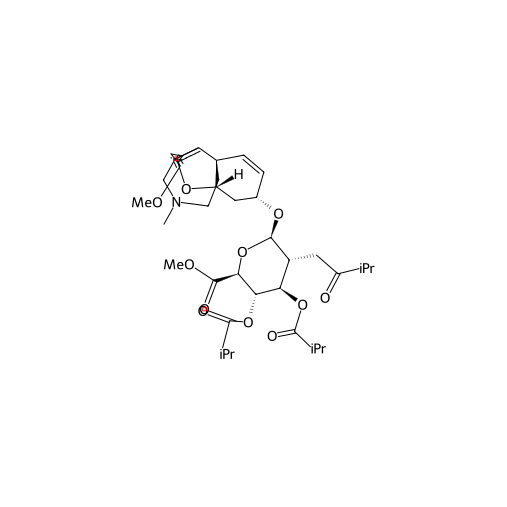 COC(=O)[C@H]1O[C@@H](O[C@H]2C=C[C@@]34CCN(C)Cc5ccc(OC)c(c53)O[C@H]4C2)[C@H](CC(=O)C(C)C)[C@@H](OC(=O)C(C)C)[C@@H]1OC(=O)C(C)C